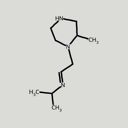 CC(C)N=CCN1CCNCC1C